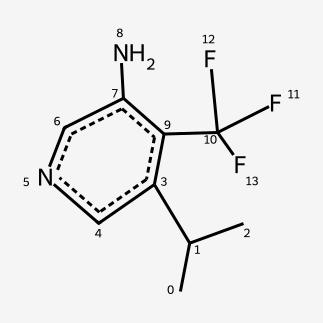 CC(C)c1cncc(N)c1C(F)(F)F